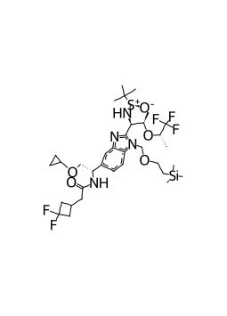 C[C@H](O[C@H](C)[C@H](N[S@+]([O-])C(C)(C)C)c1nc2cc([C@@H](COC3CC3)NC(=O)CC3CC(F)(F)C3)ccc2n1COCC[Si](C)(C)C)C(F)(F)F